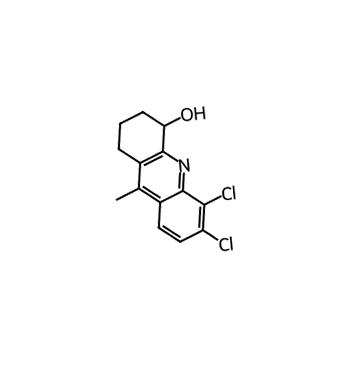 Cc1c2c(nc3c(Cl)c(Cl)ccc13)C(O)CCC2